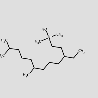 CCC(CCCC(C)CCCC(C)C)CC[N+](C)(C)O